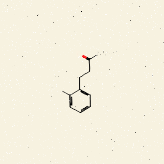 CNC(=O)CCc1ccccc1C(F)(F)F